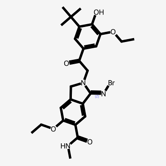 CCOc1cc2c(cc1C(=O)NC)/C(=N/Br)N(CC(=O)c1cc(OCC)c(O)c(C(C)(C)C)c1)C2